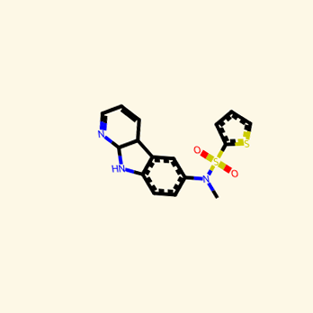 CN(c1ccc2c(c1)C1C=CC=NC1N2)S(=O)(=O)c1cccs1